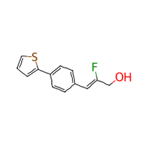 OC/C(F)=C/c1ccc(-c2cccs2)cc1